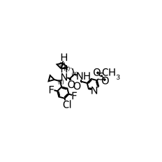 CS(=O)(=O)c1cncc(C(=O)N[C@H](C[C@@H]2C3C[C@@H]32)C(=O)N[C@@H](c2cc(F)c(Cl)cc2F)C2CC2)c1